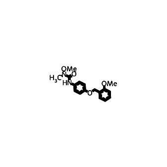 COc1ccccc1COc1ccc(NC(=O)N(C)OC)cc1